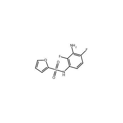 Nc1c(F)ccc(NS(=O)(=O)c2ccco2)c1F